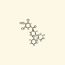 O=C(c1cc(Cl)c(O)c(Cl)c1)N1C=COC(C2=C(c3ccccc3)C=CCC2)=C1